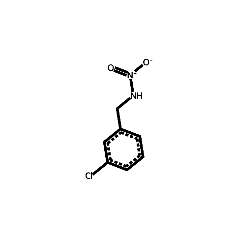 O=[N+]([O-])NCc1cccc(Cl)c1